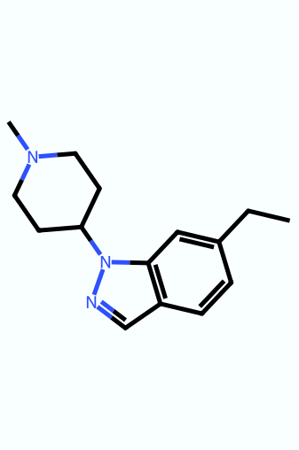 CCc1ccc2cnn(C3CCN(C)CC3)c2c1